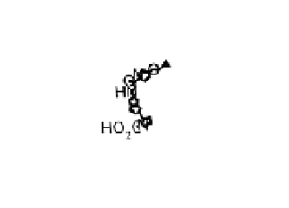 O=C(CNC1Cc2ccc(-c3cccn3C(=O)O)cc2C1)c1ccc(OCC2CC2)cn1